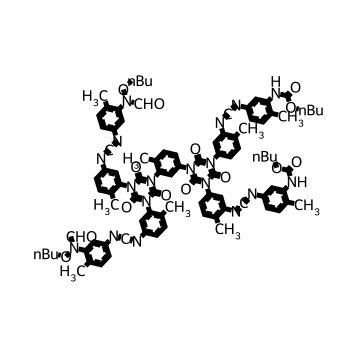 CCCCOC(=O)Nc1cc(N=C=Nc2cc(-n3c(=O)n(-c4ccc(C)c(N=C=Nc5ccc(C)c(NC(=O)OCCCC)c5)c4)c(=O)n(-c4ccc(C)c(-n5c(=O)n(-c6cc(N=C=Nc7ccc(C)c(N(C=O)OCCCC)c7)ccc6C)c(=O)n(-c6cc(N=C=Nc7ccc(C)c(N(C=O)OCCCC)c7)ccc6C)c5=O)c4)c3=O)ccc2C)ccc1C